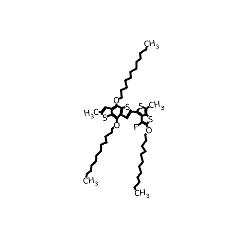 CCCCCCCCCCCCOc1sc2c(C)sc(-c3cc4c(OCCCCCCCCCCCC)c5sc(C)cc5c(OCCCCCCCCCCCC)c4s3)c2c1F